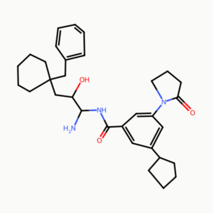 NC(NC(=O)c1cc(C2CCCC2)cc(N2CCCC2=O)c1)C(O)CC1(Cc2ccccc2)CCCCC1